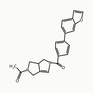 CC(=O)N1CC2=CN(C(=O)c3ccc(-c4ccc5ccoc5c4)cc3)CC2C1